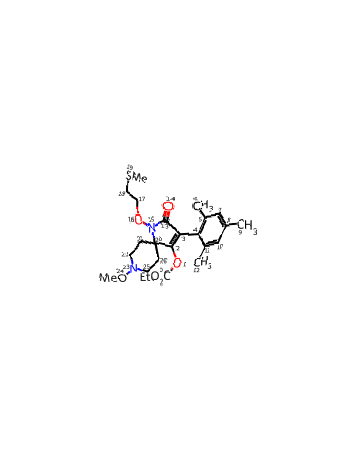 CCOC(=O)OC1=C(c2c(C)cc(C)cc2C)C(=O)N(OCCSC)C12CCN(OC)CC2